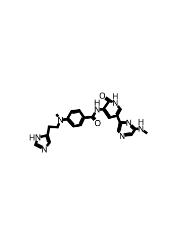 CNc1cncc(-c2c[nH]c(=O)c(NC(=O)c3ccc(N(C)CCc4cnc[nH]4)cc3)c2)n1